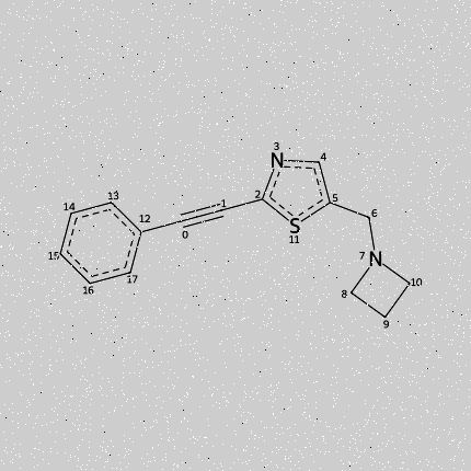 C(#Cc1ncc(CN2CCC2)s1)c1ccccc1